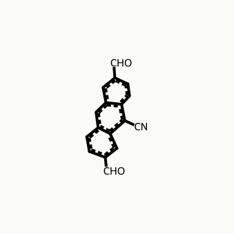 N#Cc1c2ccc(C=O)cc2cc2ccc(C=O)cc12